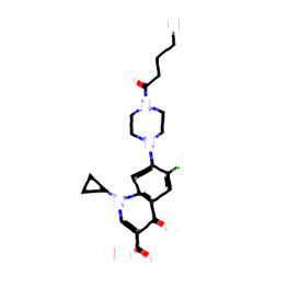 CCCCC(=O)N1CCN(c2cc3c(cc2F)c(=O)c(C(=O)O)cn3C2CC2)CC1